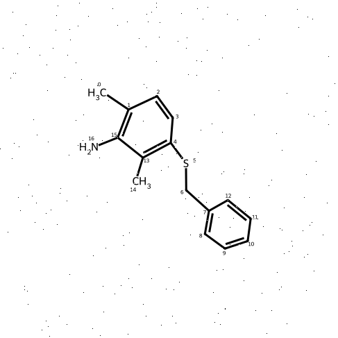 Cc1ccc(SCc2ccccc2)c(C)c1N